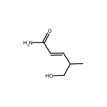 CC(C=CC(N)=O)CO